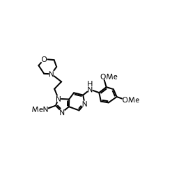 CNc1nc2cnc(Nc3ccc(OC)cc3OC)cc2n1CCN1CCOCC1